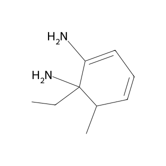 CCC1(N)C(N)=CC=CC1C